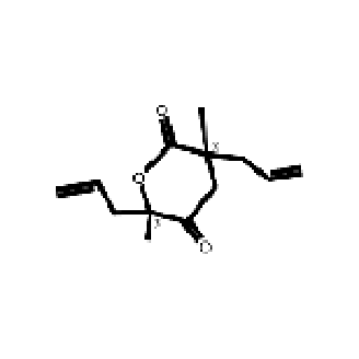 C=CC[C@]1(C)CC(=O)[C@](C)(CC=C)OC1=O